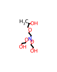 CC(O)COCCN(OCCO)OCCO